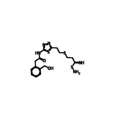 N=C(CCSCCc1nnc(NC(=O)Cc2ccccc2CO)s1)SN